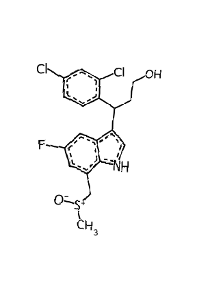 C[S+]([O-])Cc1cc(F)cc2c(C(CCO)c3ccc(Cl)cc3Cl)c[nH]c12